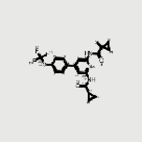 CC1(C(=O)Nc2cc(-c3ccc(OC(F)(F)F)cc3)cc(NC(=O)C3CC3)n2)CC1